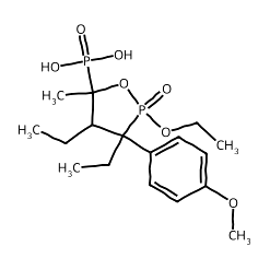 CCOP1(=O)OC(C)(P(=O)(O)O)C(CC)C1(CC)c1ccc(OC)cc1